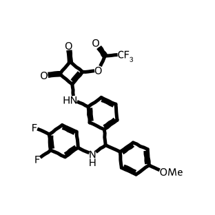 COc1ccc(C(Nc2ccc(F)c(F)c2)c2cccc(Nc3c(OC(=O)C(F)(F)F)c(=O)c3=O)c2)cc1